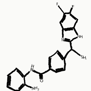 Nc1ccccc1NC(=O)c1ccc(C(S)c2nc3cc(F)c(F)cc3[nH]2)cc1